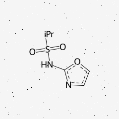 CC(C)S(=O)(=O)Nc1ncco1